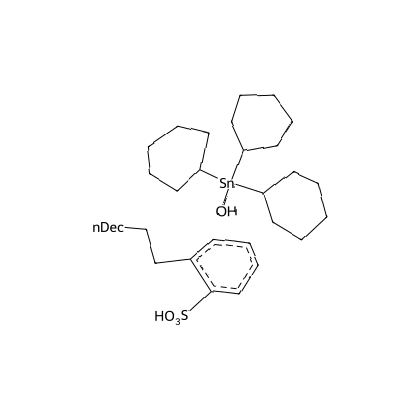 CCCCCCCCCCCCc1ccccc1S(=O)(=O)O.[OH][Sn]([CH]1CCCCC1)([CH]1CCCCC1)[CH]1CCCCC1